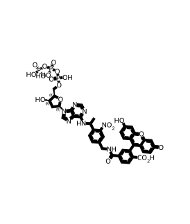 CC(Nc1ncnc2c1ncn2[C@H]1C[C@@H](O)[C@@H](COP(=O)(O)OP(=O)(O)OP(=O)(O)O)O1)c1ccc(CNC(=O)c2ccc(C(=O)O)c(-c3c4ccc(=O)cc-4oc4cc(O)ccc34)c2)cc1[N+](=O)[O-]